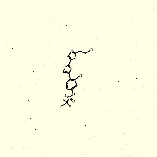 CCCc1ncc(-c2nc(-c3ccc(NS(=O)(=O)C(F)(F)F)cc3Cl)cs2)s1